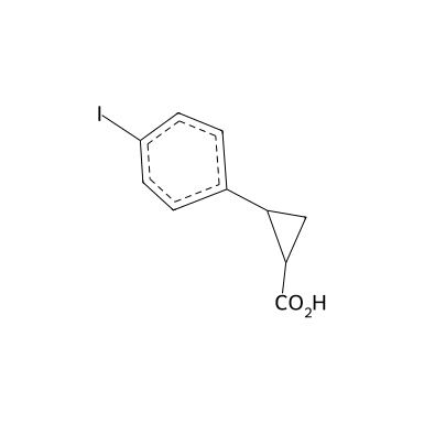 O=C(O)C1CC1c1ccc(I)cc1